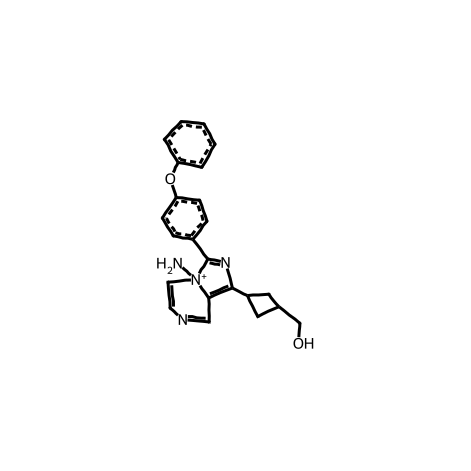 N[N+]12C=CN=CC1=C(C1CC(CO)C1)N=C2c1ccc(Oc2ccccc2)cc1